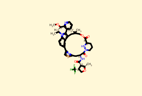 CCn1c(-c2cccnc2[C@H](C)OC)c2c3cc(ccc31)-c1csc(n1)C[C@H](NC(=O)[C@H]1[C@H](C)OC[C@@H]1C(F)(F)F)C(=O)N1CCC[C@H](N1)C(=O)OCC(C)(C)C2